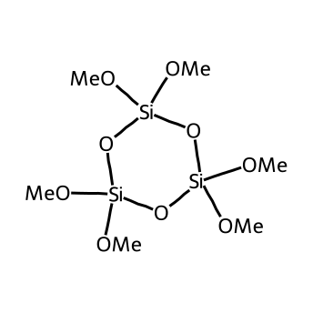 CO[Si]1(OC)O[Si](OC)(OC)O[Si](OC)(OC)O1